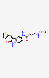 O=CNCCCC(=O)Nc1ccc2c(c1)/C(=C/c1cccs1)C(=O)N2